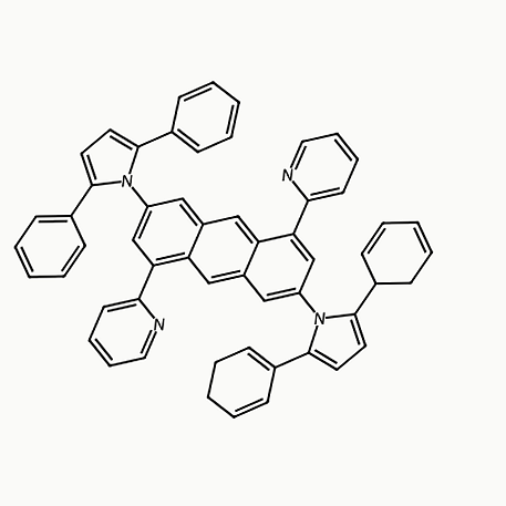 C1=CCC(c2ccc(C3=CCCC=C3)n2-c2cc(-c3ccccn3)c3cc4cc(-n5c(-c6ccccc6)ccc5-c5ccccc5)cc(-c5ccccn5)c4cc3c2)C=C1